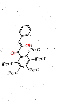 CCCC(C)c1c(C(=O)C(O)=Cc2ccccc2)c(C(C)CCC)c(C(C)CCC)c(C(C)CCC)c1C(C)CCC